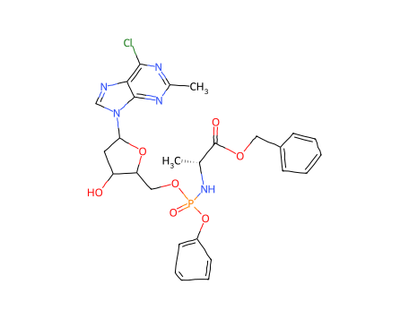 Cc1nc(Cl)c2ncn(C3CC(O)C(COP(=O)(N[C@H](C)C(=O)OCc4ccccc4)Oc4ccccc4)O3)c2n1